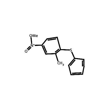 CO[N+](=O)c1ccc(Sc2ccccc2)c(C)c1